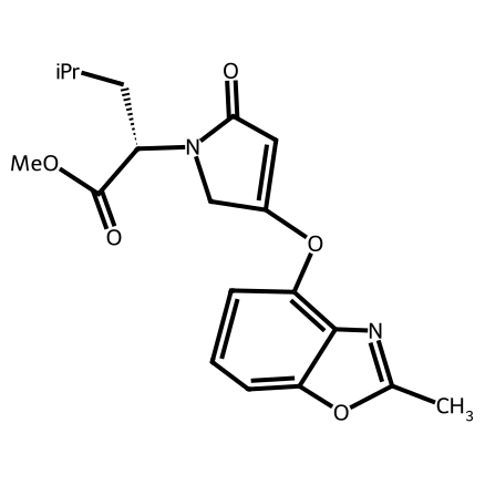 COC(=O)[C@H](CC(C)C)N1CC(Oc2cccc3oc(C)nc23)=CC1=O